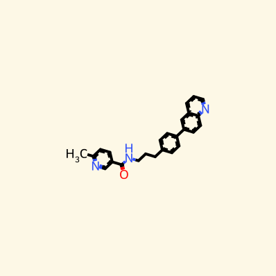 Cc1ccc(C(=O)NCCCc2ccc(-c3ccc4ncccc4c3)cc2)cn1